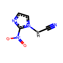 N#CBn1ccnc1[N+](=O)[O-]